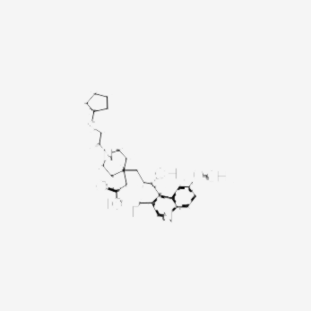 COc1ccc2ncc(CF)c([C@@H](O)CCC3(CC(=O)O)CCN(CCSC4CCCC4)CC3)c2c1